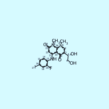 Cn1cc([C@H](O)CO)c(=O)c2c(Nc3ccc(I)cc3F)cc(=O)n(C)c21